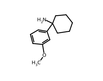 COc1cccc(C2(N)CCCCC2)c1